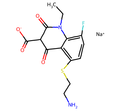 CCN1C(=O)C(C(=O)[O-])C(=O)c2c(SCCN)ccc(F)c21.[Na+]